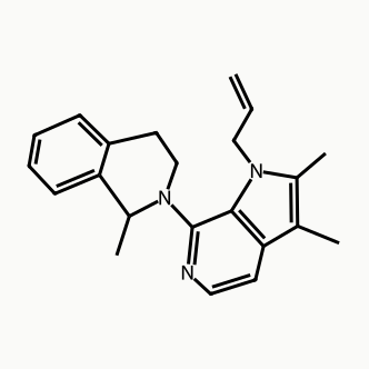 C=CCn1c(C)c(C)c2ccnc(N3CCc4ccccc4C3C)c21